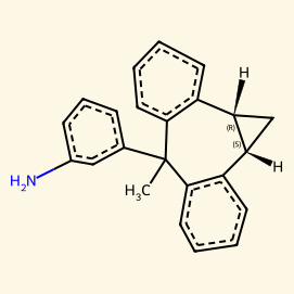 CC1(c2cccc(N)c2)c2ccccc2[C@H]2C[C@H]2c2ccccc21